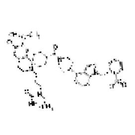 CCN(CCCN1CCc2cc(OC)c(OC)cc2[C@]12CC[C@@H](C(=O)N1CCN(c3ncnc4c3cnn4Cc3ccccc3[N+](=O)[O-])CC1)CC2)C(N)=O